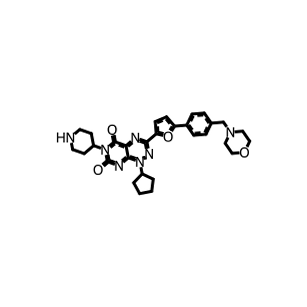 O=c1nc2n(C3CCCC3)nc(-c3ccc(-c4ccc(CN5CCOCC5)cc4)o3)nc-2c(=O)n1C1CCNCC1